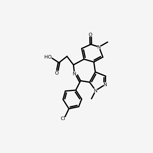 Cn1ncc2c1C(c1ccc(Cl)cc1)=NC(CC(=O)O)c1cc(=O)n(C)cc1-2